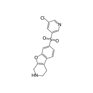 O=S(=O)(c1cncc(Cl)c1)c1ccc2c3c(oc2c1)CNCC3